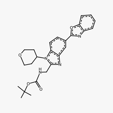 CC(C)(C)OC(=O)NCc1nc2cc(-c3nc4ccccc4o3)ccc2n1C1CCOCC1